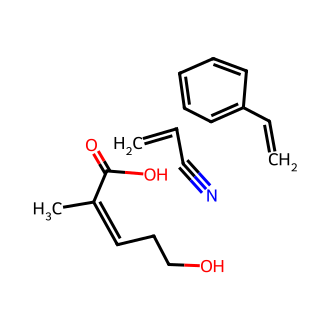 C=CC#N.C=Cc1ccccc1.CC(=CCCO)C(=O)O